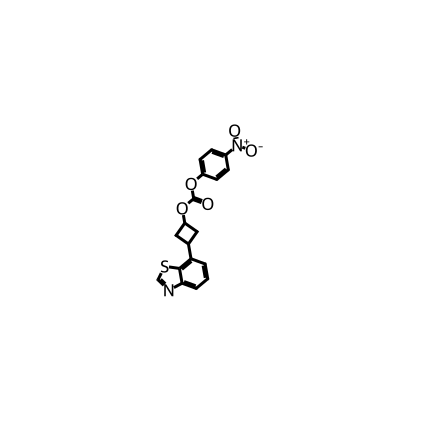 O=C(Oc1ccc([N+](=O)[O-])cc1)OC1CC(c2cccc3ncsc23)C1